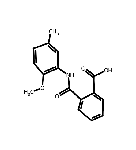 COc1ccc(C)cc1NC(=O)c1ccccc1C(=O)O